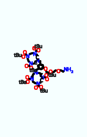 CC(C)(C)OC(=O)N1CCN(Cc2cc(CN3CCN(C(=O)OC(C)(C)C)CCN(C(=O)OC(C)(C)C)CCN(C(=O)OC(C)(C)C)CC3)cc(OCCOCCOCCN)c2)CCN(C(=O)OC(C)(C)C)CCN(C(=O)OC(C)(C)C)CC1